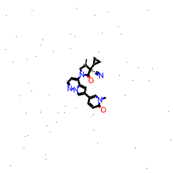 C[C@@H]1CN(c2ccnn3cc(-c4ccc(=O)n(C)c4)cc23)C(=O)[C@]1(C#N)C1CC1